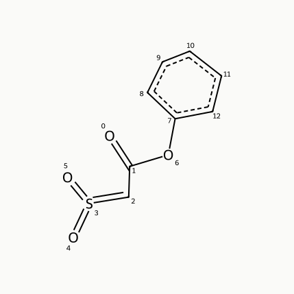 O=C(C=S(=O)=O)Oc1ccccc1